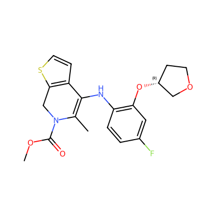 COC(=O)N1Cc2sccc2C(Nc2ccc(F)cc2O[C@@H]2CCOC2)=C1C